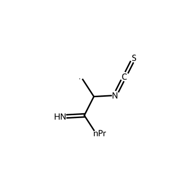 [CH2]C(N=C=S)C(=N)CCC